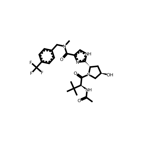 CC(=O)N[C@H](C(=O)N1C[C@H](O)C[C@H]1c1nc(C(=O)N(C)Cc2ccc(C(F)(F)F)cc2)c[nH]1)C(C)(C)C